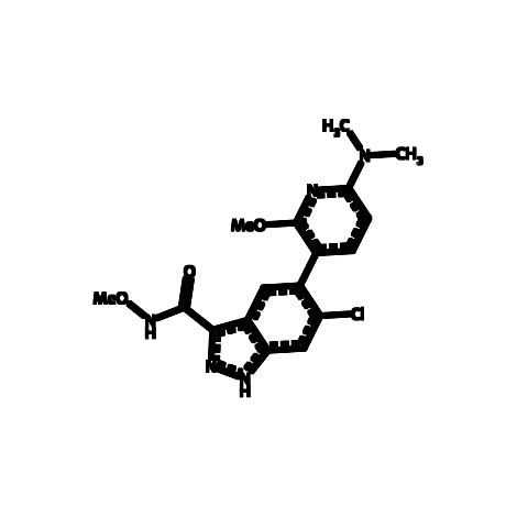 CONC(=O)c1n[nH]c2cc(Cl)c(-c3ccc(N(C)C)nc3OC)cc12